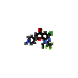 CCn1c(C(F)(F)F)nc2c(Cl)cc3c(=O)cc(C4CCN(C)CC4)oc3c21